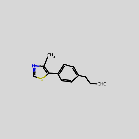 Cc1ncsc1-c1ccc(CCC=O)cc1